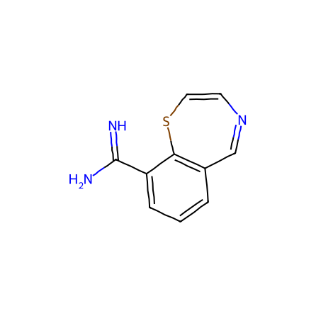 N=C(N)c1cccc2c1SC=CN=C2